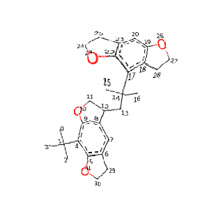 CC(C)(C)c1c2c(cc3c1OCC3CC(C)(C)c1c3c(cc4c1OCC4)OCC3)CCO2